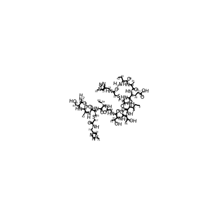 CCC(C)[C@H](NC(=O)[C@H](CSCC(=O)NCc1cn(C)nn1)NC(=O)[C@H](CCC(=O)O)NC(=O)[C@H](C)NC(=O)[C@@H](N)CC)C(=O)N[C@H](C(=O)N[C@H](C(=O)NCC(=O)N[C@@H](CC)C(=O)N[C@@H](CSCC(=O)NCc1cn(C)nn1)C(=O)N[C@@H](C)C(=O)N[C@@H](CO)C(N)=O)C(C)O)C(C)O